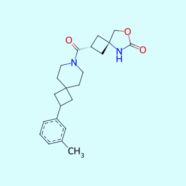 Cc1cccc(C2CC3(CCN(C(=O)[C@H]4C[C@]5(COC(=O)N5)C4)CC3)C2)c1